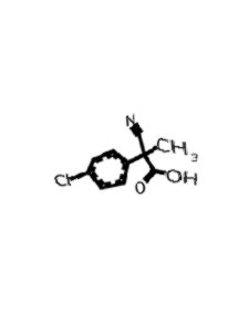 CC(C#N)(C(=O)O)c1ccc(Cl)cc1